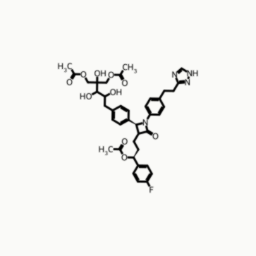 CC(=O)OCC(O)(COC(C)=O)C(O)C(O)Cc1ccc([C@@H]2C(CC[C@H](OC(C)=O)c3ccc(F)cc3)C(=O)N2c2ccc(CCc3nc[nH]n3)cc2)cc1